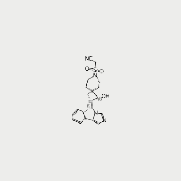 N#CCS(=O)(=O)N1CCC2(CC1)C[C@@H]([C@H]1C3C=CC=CC3c3cncn31)[C@H]2O